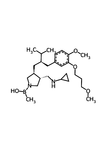 COCCCOc1cc(C[C@@H](C[C@@H]2CN(B(C)O)C[C@H]2CNC2CC2)C(C)C)ccc1OC